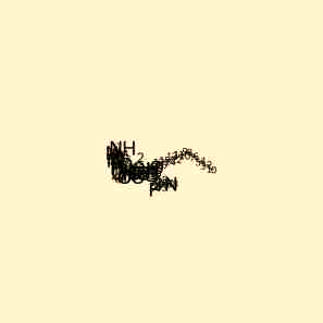 CCCCCCCC/C=C\CCCCCCCCOC[C@H](COP(=O)(O)OC[C@H]1O[C@@](C)(c2ccc3c(N)ncnn23)[C@@H]2OC(C)(C)O[C@@H]21)OCc1cc(F)cc(C#N)c1